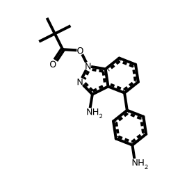 CC(C)(C)C(=O)On1nc(N)c2c(-c3ccc(N)cc3)cccc21